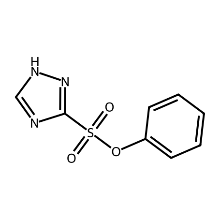 O=S(=O)(Oc1ccccc1)c1nc[nH]n1